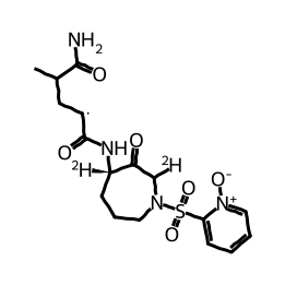 [2H]C1C(=O)[C@@]([2H])(NC(=O)[CH]CC(C)C(N)=O)CCCN1S(=O)(=O)c1cccc[n+]1[O-]